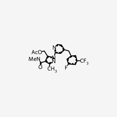 CNC(=O)c1c(C)nn(-c2cc(Cc3cc(F)cc(C(F)(F)F)c3)ccn2)c1COC(C)=O